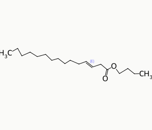 CCCCCCCCCCC/C=C/CC(=O)OCCCC